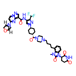 Cn1c(=O)n(C2CCC(=O)NC2=O)c2cccc(CCCCN3CCN(C(=O)[C@H]4CC[C@H](n5cc(NC(=O)c6cnn7ccc(N8C[C@H]9C[C@@H]8CO9)nc67)c(C(F)F)n5)CC4)CC3)c21